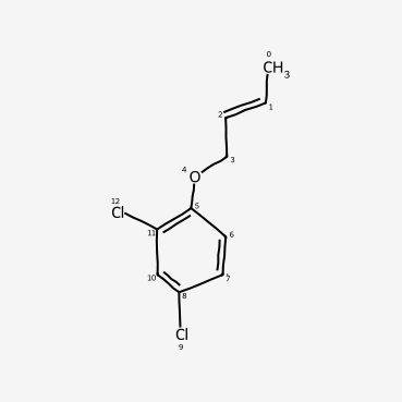 C/C=C/COc1c[c]c(Cl)cc1Cl